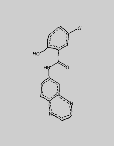 O=C(Nc1ccc2nccnc2c1)c1cc(Cl)ccc1O